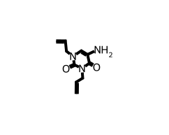 C=CCn1cc(N)c(=O)n(CC=C)c1=O